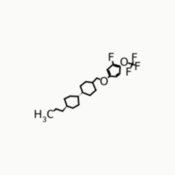 CCC[C@H]1CC[C@H](C2CCC(COc3ccc(OC(F)(F)F)c(F)c3)CC2)CC1